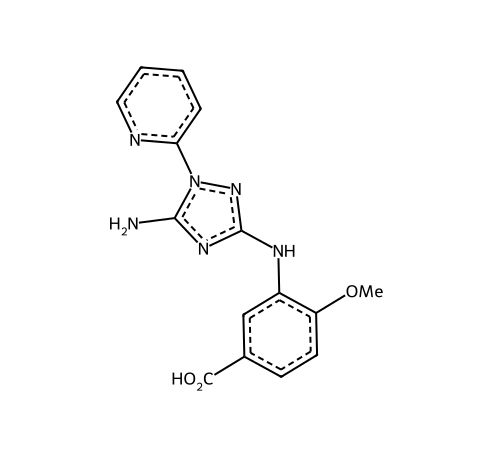 COc1ccc(C(=O)O)cc1Nc1nc(N)n(-c2ccccn2)n1